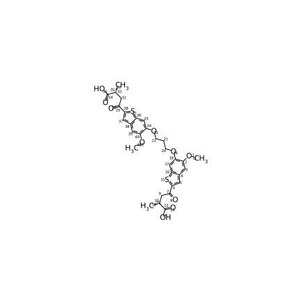 COc1cc2cc(C(=O)C[C@H](C)C(=O)O)sc2cc1OCCCOc1cc2sc(C(=O)C[C@H](C)C(=O)O)cc2cc1OC